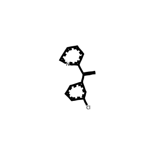 C=C(c1cccc(Cl)c1)c1ccccn1